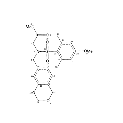 COC(=O)CN(Cc1ccc2c(c1)OCOC2)S(=O)(=O)c1c(C)cc(OC)cc1C